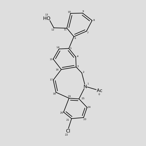 CC(=O)N1Cc2cc(-c3ccccc3CO)ccc2C=Cc2cc(Cl)ccc21